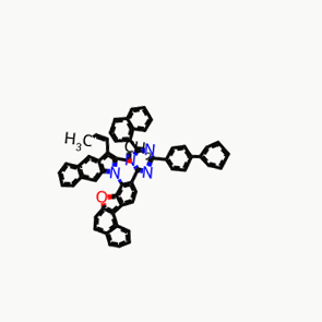 C=Cc1c(/C=C\C)c2cc3ccccc3cc2n1-c1c(-c2nc(-c3ccc(-c4ccccc4)cc3)nc(-c3cccc4ccccc34)n2)ccc2c1oc1ccc3ccccc3c12